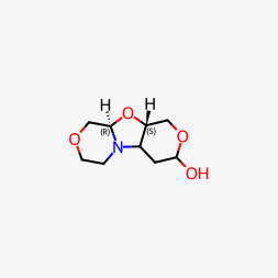 OC1CC2[C@@H](CO1)O[C@@H]1COCCN21